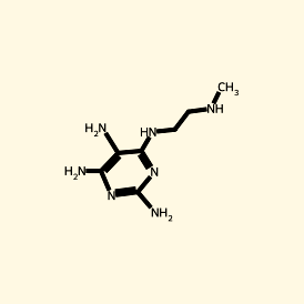 CNCCNc1nc(N)nc(N)c1N